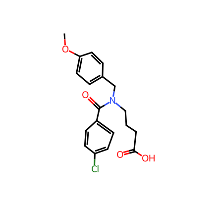 COc1ccc(CN(CCCC(=O)O)C(=O)c2ccc(Cl)cc2)cc1